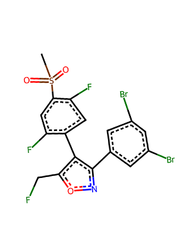 CS(=O)(=O)c1cc(F)c(-c2c(-c3cc(Br)cc(Br)c3)noc2CF)cc1F